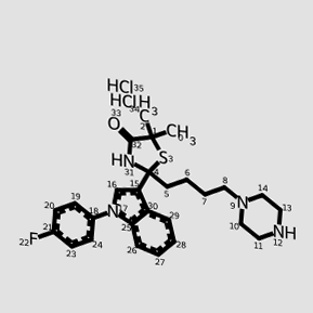 CC1(C)SC(CCCCN2CCNCC2)(c2cn(-c3ccc(F)cc3)c3ccccc23)NC1=O.Cl.Cl